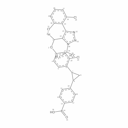 [2H]C(Oc1ccc(C2CC2c2ccc(C(=O)O)cc2)c(Cl)c1)c1c(-c2c(Cl)cccc2Cl)nnn1C(C)C